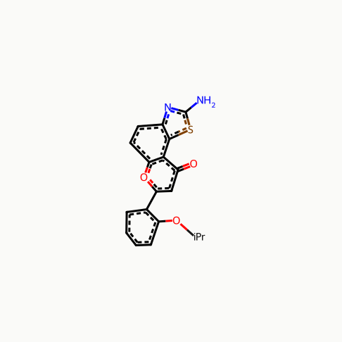 CC(C)Oc1ccccc1-c1cc(=O)c2c(ccc3nc(N)sc32)o1